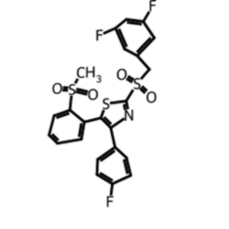 CS(=O)(=O)c1ccccc1-c1sc(S(=O)(=O)Cc2cc(F)cc(F)c2)nc1-c1ccc(F)cc1